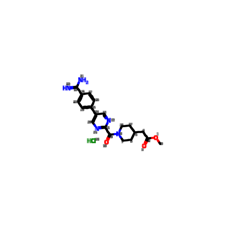 COC(=O)CC1CCN(C(=O)c2ncc(-c3ccc(C(=N)N)cc3)cn2)CC1.Cl